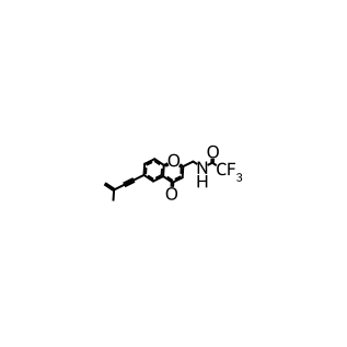 C=C(C)C#Cc1ccc2oc(CNC(=O)C(F)(F)F)cc(=O)c2c1